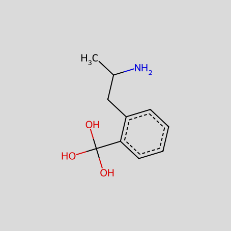 CC(N)Cc1ccccc1C(O)(O)O